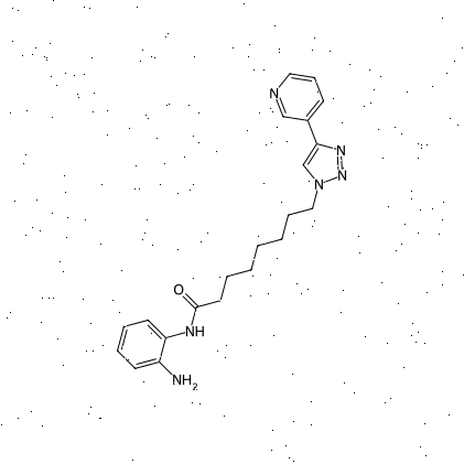 Nc1ccccc1NC(=O)CCCCCCCn1cc(-c2cccnc2)nn1